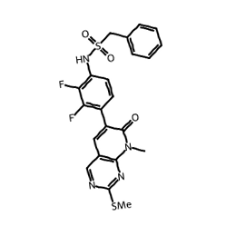 CSc1ncc2cc(-c3ccc(NS(=O)(=O)Cc4ccccc4)c(F)c3F)c(=O)n(C)c2n1